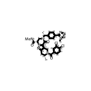 CNC(=O)[C@@H]1CN([C@H](C)c2ccc(-c3nnnn3C)cc2)C(=O)c2c3c(nn21)C[C@@H](C)N(C(=O)c1ccc(Cl)c(Cl)c1)C3